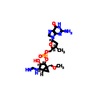 COC[C@]12C[C@@H]1[C@@H](NC=N)[C@H](O)[C@@H]2O[PH](=O)OC[C@H]1O[C@@H](n2cnc3c(=O)[nH]c(N)nc32)C[C@@H]1C